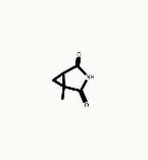 CC12CC1C(=O)NC2=O